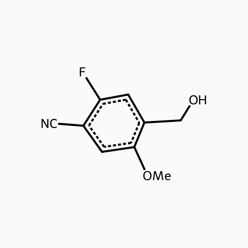 COc1cc(C#N)c(F)cc1CO